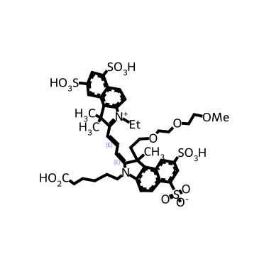 CC[N+]1=C(/C=C/C=C2/N(CCCCCC(=O)O)c3ccc4c(S(=O)(=O)[O-])cc(S(=O)(=O)O)cc4c3C2(C)CCOCCOCCOC)C(C)(C)c2c1ccc1c(S(=O)(=O)O)cc(S(=O)(=O)O)cc21